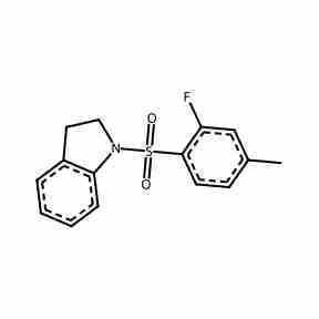 Cc1ccc(S(=O)(=O)N2CCc3ccccc32)c(F)c1